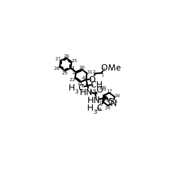 COCCOC1(C(C)(C)NC(=O)N[C@@]2(C)CN3CCC2CC3)C=CC(c2ccccc2)=CC1